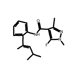 CC(=CC(C)C)c1ccccc1NC(=O)c1c(C)nn(C)c1F